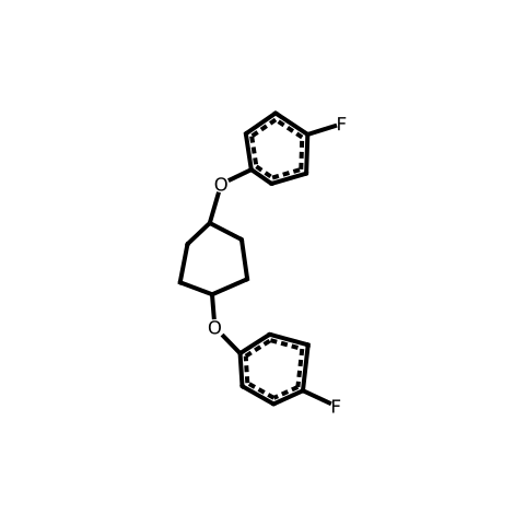 Fc1ccc(OC2CCC(Oc3ccc(F)cc3)CC2)cc1